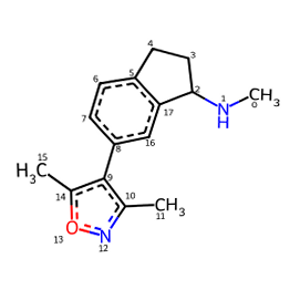 CNC1CCc2ccc(-c3c(C)noc3C)cc21